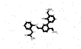 C=Cc1ccc(COc2ccccc2CC(=O)O)cc1-c1cccc(CN)c1F